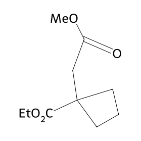 CCOC(=O)C1(CC(=O)OC)CCC1